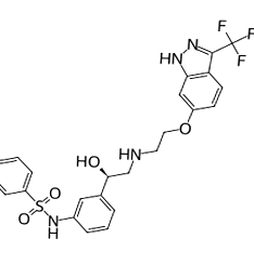 O=S(=O)(Nc1cccc([C@@H](O)CNCCOc2ccc3c(C(F)(F)F)n[nH]c3c2)c1)c1ccccc1